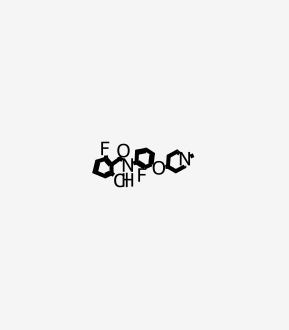 CN1CCC(Oc2cccc(NC(=O)c3c(F)cccc3Cl)c2F)CC1